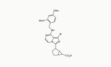 CCOC(=O)C1C2CCC(c3nc(Br)c4c(NCc5ccc(OC)cc5OC)nccn34)C21